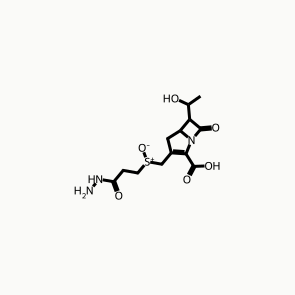 CC(O)C1C(=O)N2C(C(=O)O)=C(C[S+]([O-])CCC(=O)NN)CC12